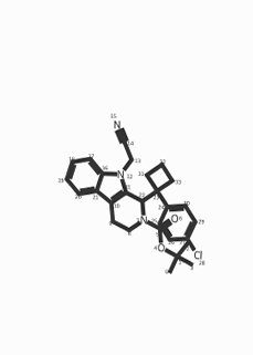 CC(C)(C)OC(=O)N1CCc2c(n(CC#N)c3ccccc23)C1C1(c2ccc(Cl)cc2)CCC1